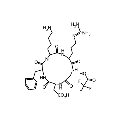 NCCCCC1NC(=O)C(Cc2ccccc2)NC(=O)C(CC(=O)O)NC(=O)CNC(=O)C(CCCN=C(N)N)NC1=O.O=C(O)C(F)(F)F